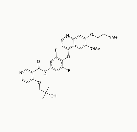 CNCCOc1cc2nccc(Oc3c(F)cc(NC(=O)c4cnccc4OCC(C)(C)O)cc3F)c2cc1OC